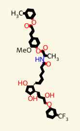 COc1cc(/C=C/C(=O)Oc2cccc(C)c2)ccc1OC(=O)C(C)NC(=O)CCC/C=C\C[C@@H]1[C@@H](/C=C/[C@@H](O)COc2cccc(C(F)(F)F)c2)[C@H](O)C[C@@H]1O